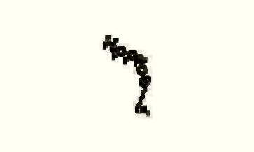 CCCCCCCC1CCC(C2CCC(C(F)(F)Oc3ccc(-c4ccc(OC(F)=C(F)F)c(F)c4)c(F)c3)CC2)OC1